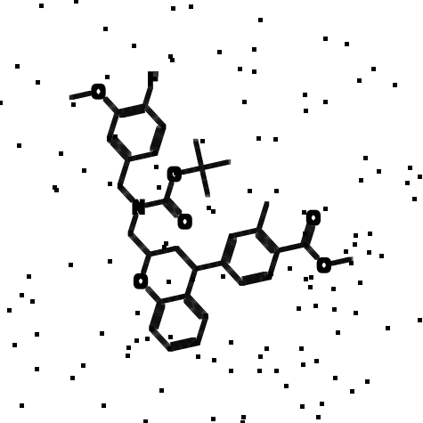 COC(=O)c1ccc(C2CC(CN(Cc3ccc(F)c(OC)c3)C(=O)OC(C)(C)C)Oc3ccccc32)cc1C